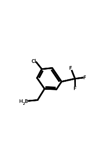 BCc1cc(Cl)cc(C(F)(F)F)c1